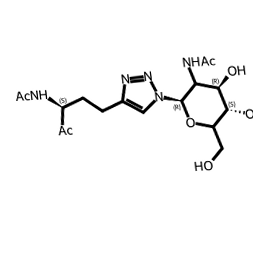 CC(=O)NC1[C@@H](O)[C@H](O)C(CO)O[C@H]1n1cc(CC[C@H](NC(C)=O)C(C)=O)nn1